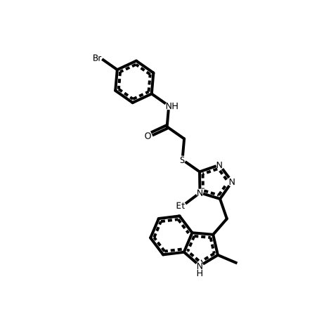 CCn1c(Cc2c(C)[nH]c3ccccc23)nnc1SCC(=O)Nc1ccc(Br)cc1